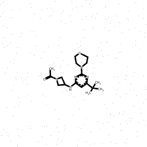 CC(=O)N1CC(Nc2cc(C(C)(C)C)nc(N3CCOCC3)n2)C1